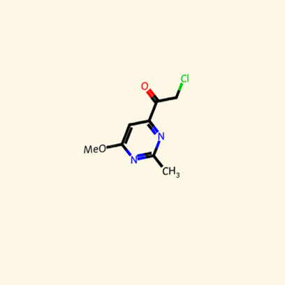 COc1cc(C(=O)CCl)nc(C)n1